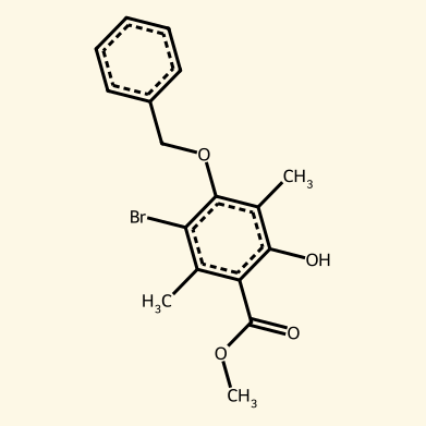 COC(=O)c1c(C)c(Br)c(OCc2ccccc2)c(C)c1O